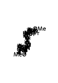 COC[C@H]1C[C@@H](c2nc3ccc4cc(-c5ccc6c(c5)C=C[C@@H]5N=C([C@@H]7CCCN7C(=O)[C@@H](NC(=O)OC)C(C)C)NC65)ccc4c3[nH]2)N(C(=O)[C@H](NC(=O)C2CC2)c2ccccc2)C1